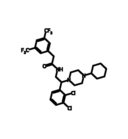 O=C(Cc1cc(C(F)(F)F)cc(C(F)(F)F)c1)NCC(c1cccc(Cl)c1Cl)N1CCN(C2CCCCC2)CC1